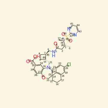 C[C@H](CC(=O)NC[C@@H]1CC[C@H]1CN1C[C@@]2(CCCc3cc(Cl)ccc32)COc2ccc(C(=O)O)cc21)[C@@H](C)S(=O)(=O)c1ncccn1